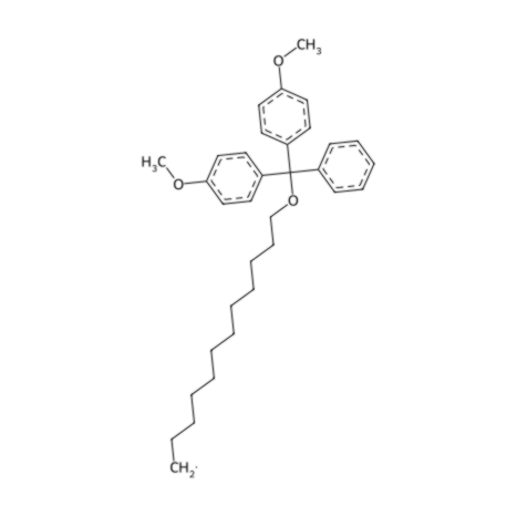 [CH2]CCCCCCCCCCCOC(c1ccccc1)(c1ccc(OC)cc1)c1ccc(OC)cc1